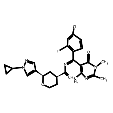 C=C(/N=C(/c1ccc(Cl)cc1F)c1c(C)nc(C)n(C)c1=O)[C@H]1CCO[C@@H](c2cnn(C3CC3)c2)C1